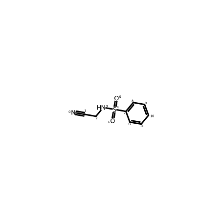 N#CCNS(=O)(=O)c1ccccc1